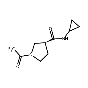 O=C(NC1CC1)[C@H]1CCN(C(=O)C(F)(F)F)C1